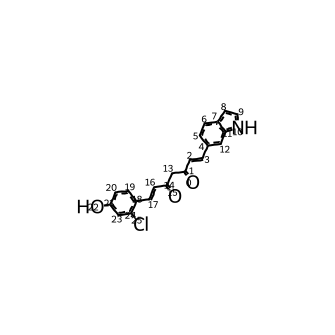 O=C(/C=C/c1ccc2cc[nH]c2c1)CC(=O)/C=C/c1ccc(O)cc1Cl